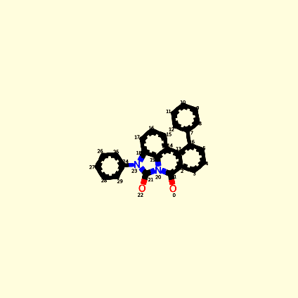 O=c1c2cccc(-c3ccccc3)c2c2cccc3c2n1c(=O)n3-c1ccccc1